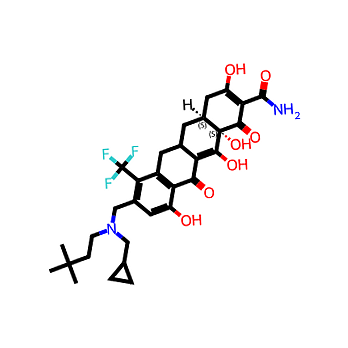 CC(C)(C)CCN(Cc1cc(O)c2c(c1C(F)(F)F)CC1C[C@H]3CC(O)=C(C(N)=O)C(=O)[C@@]3(O)C(O)=C1C2=O)CC1CC1